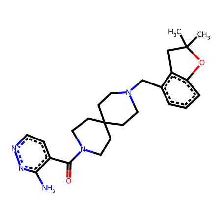 CC1(C)Cc2c(CN3CCC4(CC3)CCN(C(=O)c3ccnnc3N)CC4)cccc2O1